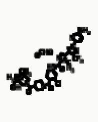 Cn1c(-c2cn(-c3ccc(N)cn3)nc2C(F)(F)F)cnc1C(=O)Nc1ccc(C(=O)N2CCC(C(=O)N3CC[N+](C)(C)C(CO)C3)CC2)c(Cl)c1.O=C[O-]